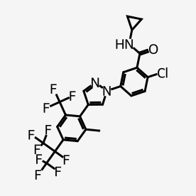 Cc1cc(C(F)(C(F)(F)F)C(F)(F)F)cc(C(F)(F)F)c1-c1cnn(-c2ccc(Cl)c(C(=O)NC3CC3)c2)c1